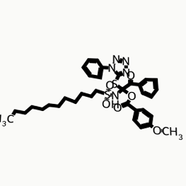 CCCCCCCCCCCCS(=O)(=O)NC(OC(=O)c1ccc(OC)cc1)(Sc1nnnn1-c1ccccc1)C(=O)c1ccccc1